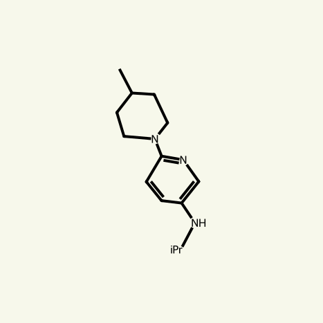 CC1CCN(c2ccc(NC(C)C)cn2)CC1